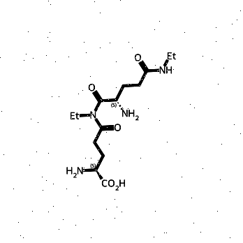 CCNC(=O)CC[C@H](N)C(=O)N(CC)C(=O)CC[C@H](N)C(=O)O